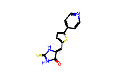 O=C1NC(=S)N/C1=C\c1ccc(-c2ccncc2)s1